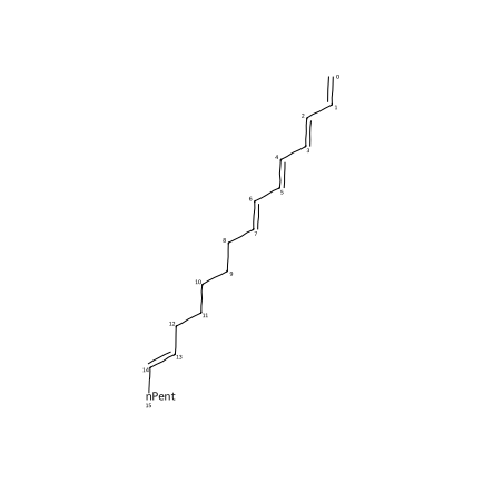 C=CC=CC=CC=CCCCCCC=CCCCCC